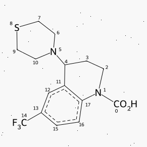 O=C(O)N1CCC(N2CCSCC2)c2cc(C(F)(F)F)ccc21